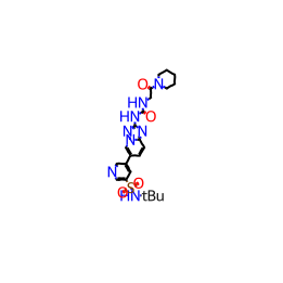 CC(C)(C)NS(=O)(=O)c1cncc(-c2ccc3nc(NC(=O)NCC(=O)N4CCCCC4)nn3c2)c1